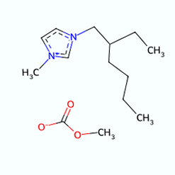 CCCCC(CC)Cn1cc[n+](C)c1.COC(=O)[O-]